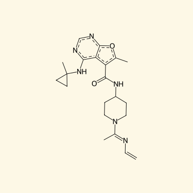 C=C/N=C(\C)N1CCC(NC(=O)c2c(C)oc3ncnc(NC4(C)CC4)c23)CC1